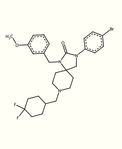 COc1cccc(CN2C(=O)N(c3ccc(Br)cc3)CC23CCN(CC2CCC(F)(F)CC2)CC3)c1